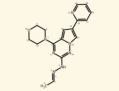 C/C=N/Nc1nc(N2CCOCC2)c2cc(-c3ccccn3)cn2n1